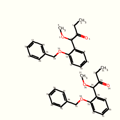 CCC(=O)C(OC)c1ccccc1OCc1ccccc1.CCC(=O)C(OC)c1ccccc1OCc1ccccc1